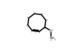 NOC1/C=C\CCCCC1